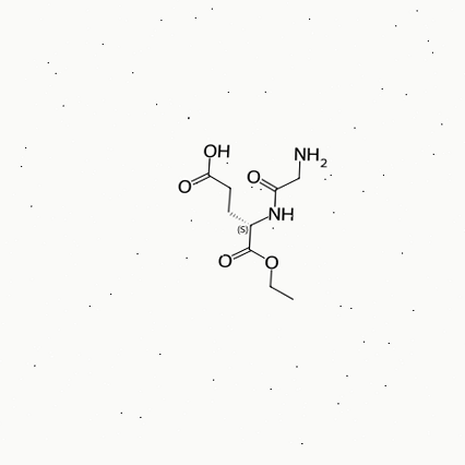 CCOC(=O)[C@H](CCC(=O)O)NC(=O)CN